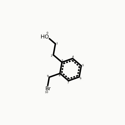 OCCc1ccccc1CBr